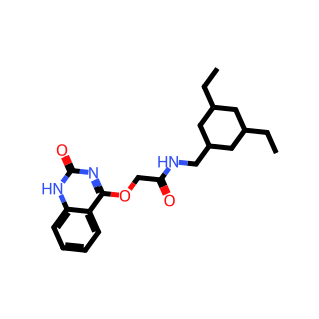 CCC1CC(CC)CC(CNC(=O)COc2nc(=O)[nH]c3ccccc23)C1